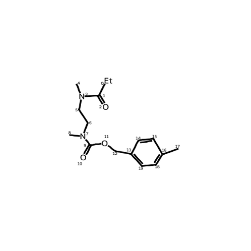 CCC(=O)N(C)CCN(C)C(=O)OCc1ccc(C)cc1